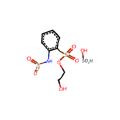 O=S(=O)(O)O.O=[SH](=O)Nc1ccccc1S(=O)(=O)OCCO